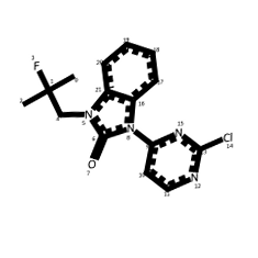 CC(C)(F)Cn1c(=O)n(-c2ccnc(Cl)n2)c2ccccc21